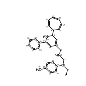 CCN(CNCC1=CC(C2C=CC=CC=C2)NC(c2ccccc2)=C1)c1ccc(O)cc1